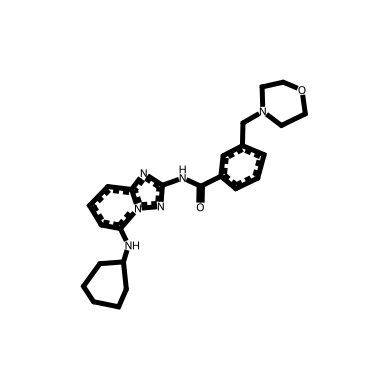 O=C(Nc1nc2cccc(NC3CCCCC3)n2n1)c1cccc(CN2CCOCC2)c1